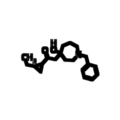 CCC1CC1C(=O)CC1(O)CCCN(Cc2ccccc2)CC1